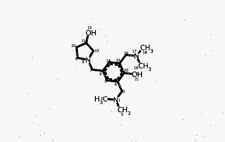 CN(C)Cc1cc(CN2CCC(O)C2)cc(CN(C)C)c1O